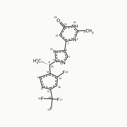 Cc1nc(-c2cnn([C@@H](C)c3ccc(C(F)(F)F)cc3F)n2)cc(=O)[nH]1